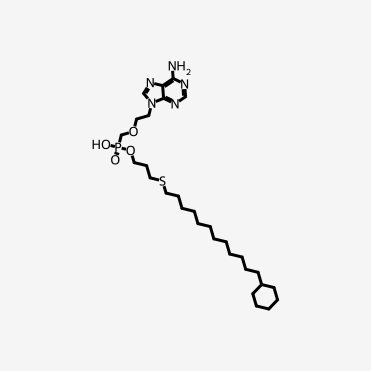 Nc1ncnc2c1ncn2CCOCP(=O)(O)OCCCSCCCCCCCCCCCCC1CCCCC1